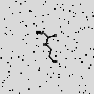 O=C(O)C(Cl)NCCO